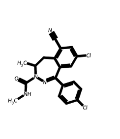 CNC(=O)N1N=C(c2ccc(Cl)cc2)c2cc(Cl)cc(C#N)c2CC1C